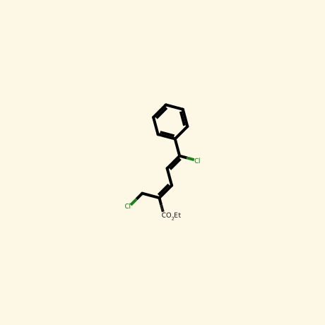 CCOC(=O)C(=CC=C(Cl)c1ccccc1)CCl